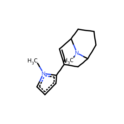 CN1C2C=C(c3cccn3C)CC1CCC2